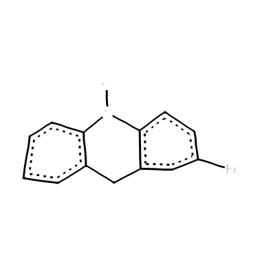 [O-][S+]1c2ccccc2Cc2cc(Br)ccc21